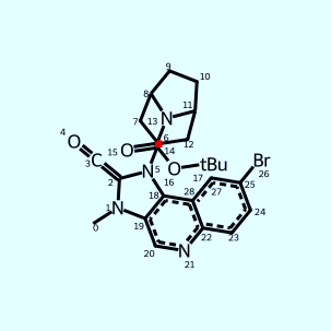 CN1C(=C=O)N(C2CC3CCC(C2)N3C(=O)OC(C)(C)C)c2c1cnc1ccc(Br)cc21